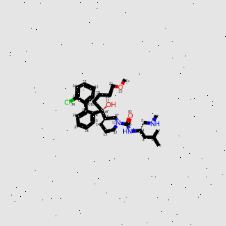 CNC[C@H](CC(C)C)NC(=O)N1CCC[C@@H]([C@](O)(CCCCOC)c2ccccc2-c2ccccc2Cl)C1